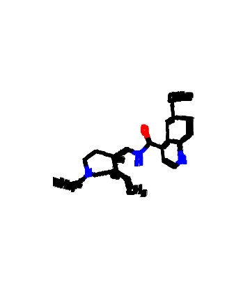 C=C[C@H]1CN(CCCCCCC)CC[C@H]1CNC(=O)c1ccnc2ccc(OC)cc12